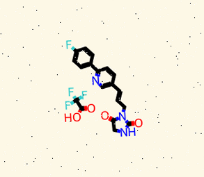 O=C(O)C(F)(F)F.O=C1CNC(=O)N1CC=Cc1ccc(-c2ccc(F)cc2)nc1